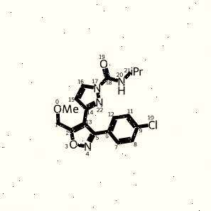 COCc1onc(-c2ccc(Cl)cc2)c1-c1ccn(C(=O)NC(C)C)n1